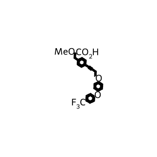 CO[C@@H](Cc1ccc(C#CCCOc2ccc(Oc3ccc(C(F)(F)F)cc3)cc2)cc1)C(=O)O